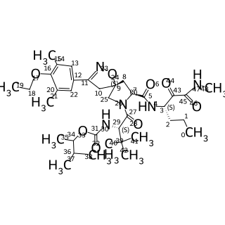 CCC[C@H](NC(=O)[C@@H]1C[C@]2(CC(c3cc(C)c(OCC)c(C)c3)=NO2)CN1C(=O)[C@@H](NC(=O)OC(C)C(C)C)C(C)(C)C)C(=O)C(=O)NC